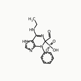 CCNC1=NC(C=O)(S(=O)(=O)O)N(c2ccccc2)c2nc[nH]c21